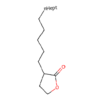 CCCCCCCCCCCCC1CCOC1=O